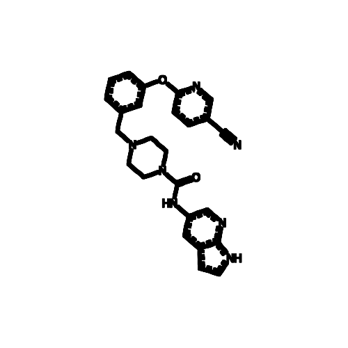 N#Cc1ccc(Oc2cccc(CN3CCN(C(=O)Nc4cnc5[nH]ccc5c4)CC3)c2)nc1